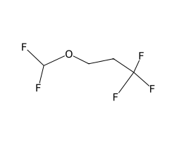 FC(F)OCCC(F)(F)F